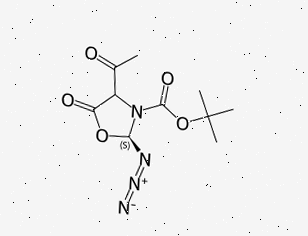 CC(=O)C1C(=O)O[C@H](N=[N+]=[N-])N1C(=O)OC(C)(C)C